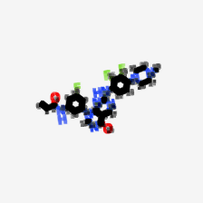 C=CC(=O)Nc1cc(F)cc(-n2cnc(=O)c3cnc(Nc4ccc(N5CCN(C)CC5)c(F)c4F)nc32)c1